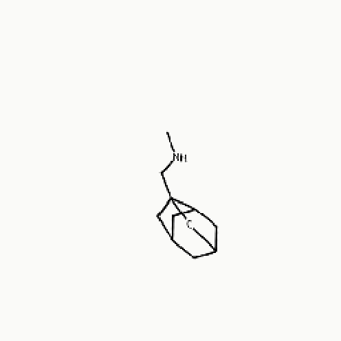 CNCC12CC3CC(CC1C3)C2